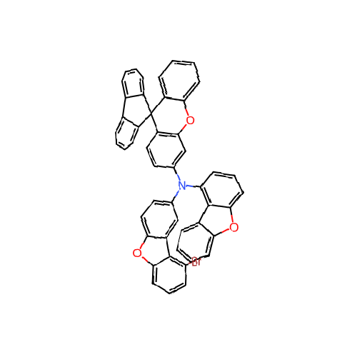 Brc1cccc2oc3ccc(N(c4ccc5c(c4)Oc4ccccc4C54c5ccccc5-c5ccccc54)c4cccc5oc6ccccc6c45)cc3c12